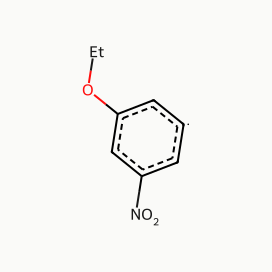 CCOc1c[c]cc([N+](=O)[O-])c1